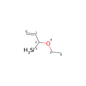 C=CC([SiH3])OCC